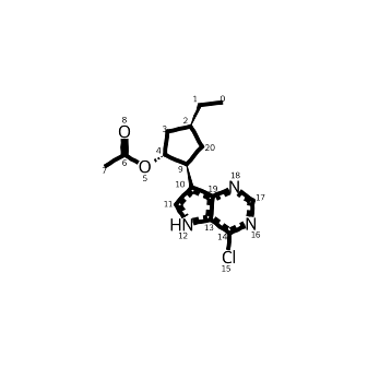 CC[C@@H]1C[C@@H](OC(C)=O)[C@H](c2c[nH]c3c(Cl)ncnc23)C1